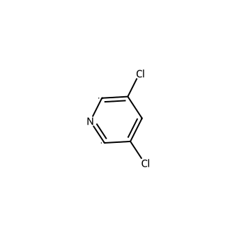 Clc1[c]n[c]c(Cl)c1